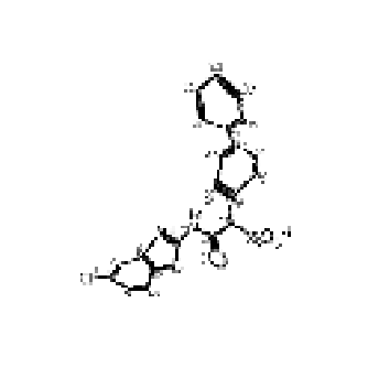 O=C(Nc1nc2cc(Cl)ccc2o1)C(c1ccc(-c2ccccc2)cc1)S(=O)(=O)O